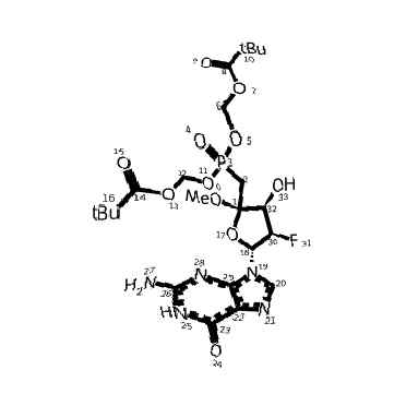 CO[C@]1(CP(=O)(OCOC(=O)C(C)(C)C)OCOC(=O)C(C)(C)C)O[C@@H](n2cnc3c(=O)[nH]c(N)nc32)[C@H](F)[C@@H]1O